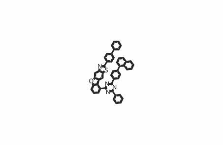 c1ccc(-c2ccc(-c3nc4cc5oc6cccc(-c7nc(-c8ccccc8)nc(-c8ccc(-c9cccc%10ccccc9%10)cc8)n7)c6c5cc4s3)cc2)cc1